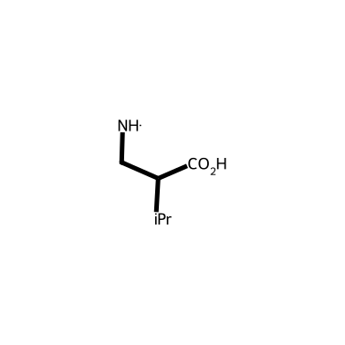 CC(C)C(C[NH])C(=O)O